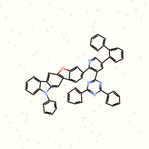 c1ccc(-c2nc(-c3ccccc3)nc(-c3cc(-c4ccccc4-c4ccccc4)cnc3-c3ccc4c(c3)oc3cc5c6ccccc6n(-c6ccccc6)c5cc34)n2)cc1